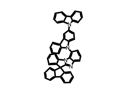 c1ccc2c(c1)-c1ccccc1C21c2ccccc2-n2c1nc1cccc(-n3c4ccccc4c4cc(-n5c6ccccc6c6ccccc65)ccc43)c12